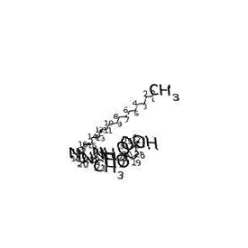 CCCCCCCCCCCCCCC/C=C/C1=NCCN1C(C)N.O=C(O)/C=C\C(=O)O